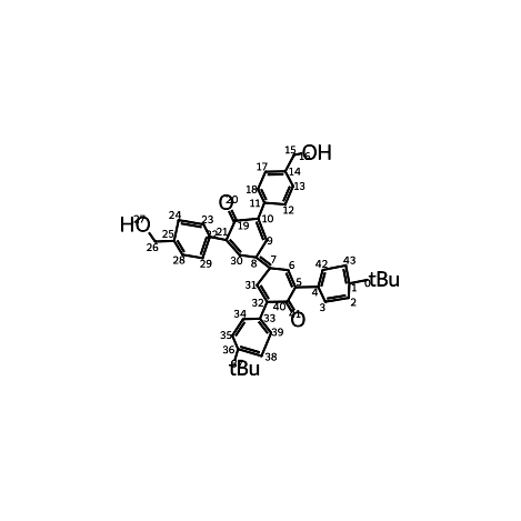 CC(C)(C)c1ccc(C2=CC(=C3C=C(c4ccc(CO)cc4)C(=O)C(c4ccc(CO)cc4)=C3)C=C(c3ccc(C(C)(C)C)cc3)C2=O)cc1